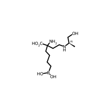 C[C@H](CO)NCCC(N)(CCCCB(O)O)C(=O)O